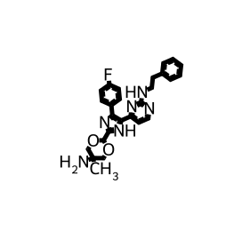 CC1(N)COC(c2nc(-c3ccc(F)cc3)c(-c3ccnc(NCCc4ccccc4)n3)[nH]2)OC1